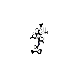 Cc1nn2c(O)c(C(=O)NC3CC3)c(=O)n(CC(C)C)c2c1/C=C/C(=O)N1CCCC1C1CC1